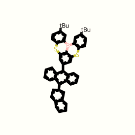 CC(C)(C)c1ccc2c(c1)B1c3cc(C(C)(C)C)ccc3Sc3cc(-c4c5ccccc5c(-c5ccc6ccccc6c5)c5ccccc45)cc(c31)S2